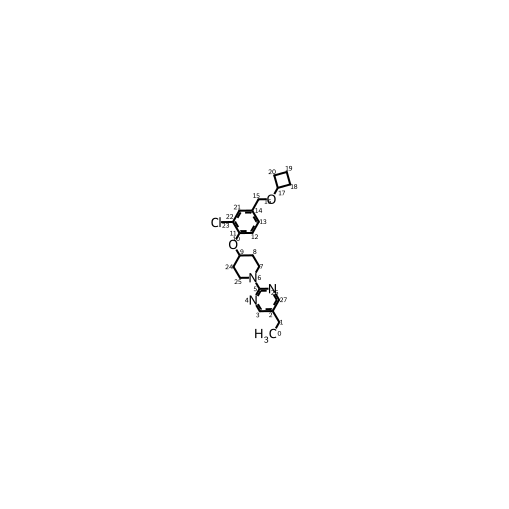 CCc1cnc(N2CCC(Oc3ccc(COC4CCC4)cc3Cl)CC2)nc1